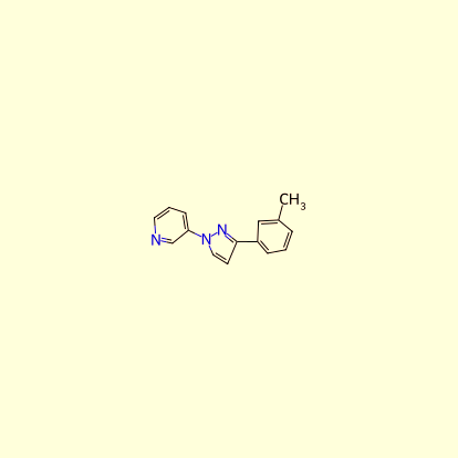 Cc1cccc(-c2ccn(-c3cccnc3)n2)c1